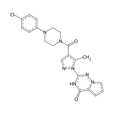 Cc1c(C(=O)N2CCN(c3ccc(Cl)cc3)CC2)cnn1-c1nn2cccc2c(=O)[nH]1